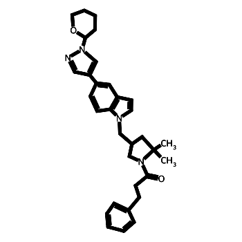 CC1(C)CC(Cn2ccc3cc(-c4cnn(C5CCCCO5)c4)ccc32)CN1C(=O)CCc1ccccc1